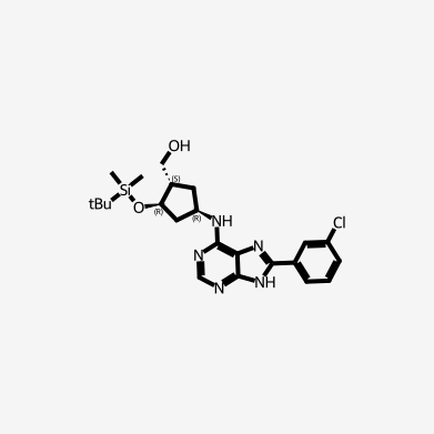 CC(C)(C)[Si](C)(C)O[C@@H]1C[C@H](Nc2ncnc3[nH]c(-c4cccc(Cl)c4)nc23)C[C@H]1CO